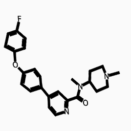 CN1CCC(N(C)C(=O)c2cc(-c3ccc(Oc4ccc(F)cc4)cc3)ccn2)CC1